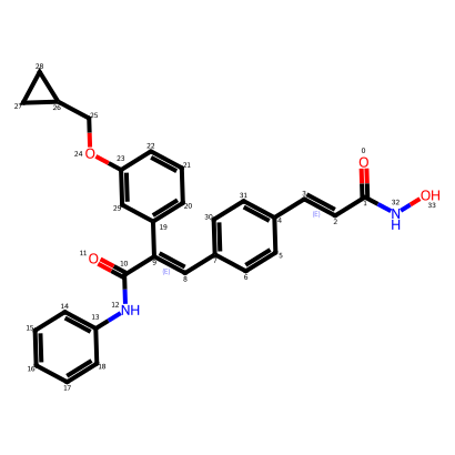 O=C(/C=C/c1ccc(/C=C(/C(=O)Nc2ccccc2)c2cccc(OCC3CC3)c2)cc1)NO